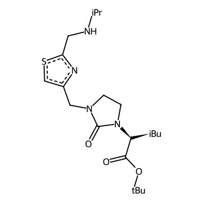 CC[C@H](C)[C@@H](C(=O)OC(C)(C)C)N1CCN(Cc2csc(CNC(C)C)n2)C1=O